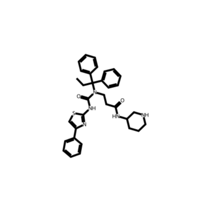 CCC(c1ccccc1)(c1ccccc1)N(CCC(=O)NC1CCCNC1)C(=O)Nc1nc(-c2ccccc2)cs1